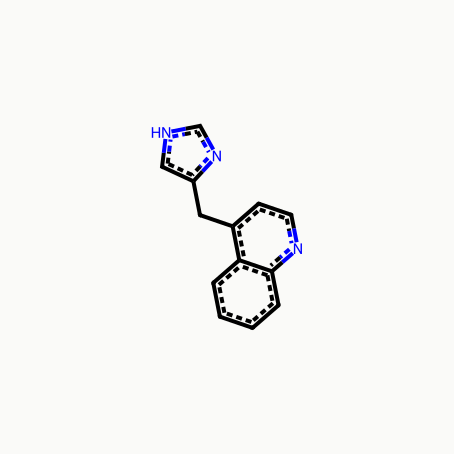 c1ccc2c(Cc3c[nH]cn3)ccnc2c1